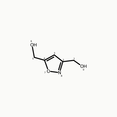 OCc1cc(CO)on1